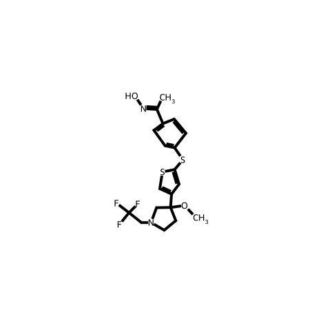 COC1(c2csc(Sc3ccc(C(C)=NO)cc3)c2)CCN(CC(F)(F)F)C1